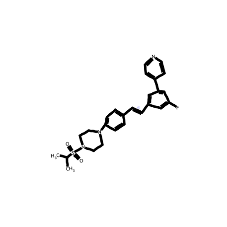 CC(C)S(=O)(=O)N1CCN(c2ccc(/C=C/c3cc(F)cc(-c4ccncc4)c3)cc2)CC1